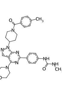 CNC(=O)Nc1ccc(-c2nc(N3CCOCC3)c3cnn(C4CCN(C(=O)c5ccc(C)cc5)CC4)c3n2)cc1